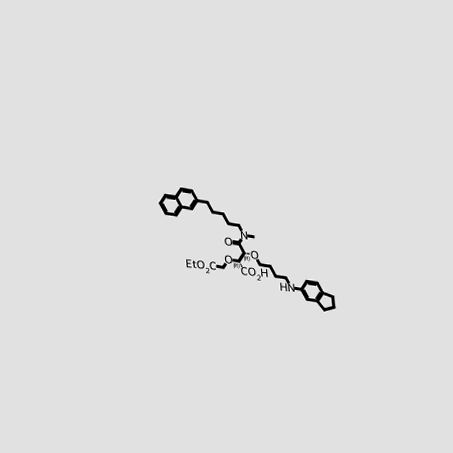 CCOC(=O)CO[C@@H](C(=O)O)[C@@H](OCCCCNc1ccc2c(c1)CCC2)C(=O)N(C)CCCCCc1ccc2ccccc2c1